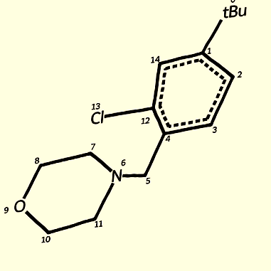 CC(C)(C)c1ccc(CN2CCOCC2)c(Cl)c1